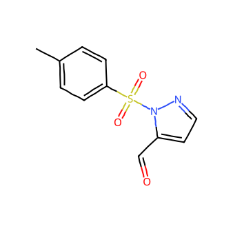 Cc1ccc(S(=O)(=O)n2nccc2C=O)cc1